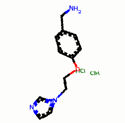 Cl.Cl.NCc1ccc(OCCn2ccnc2)cc1